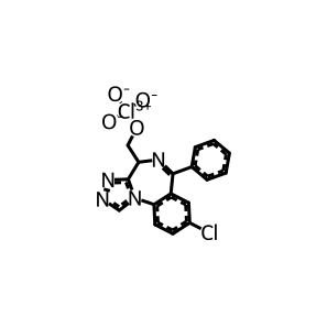 [O-][Cl+3]([O-])([O-])OCC1N=C(c2ccccc2)c2cc(Cl)ccc2-n2cnnc21